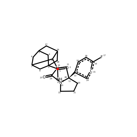 NC(=O)C12CC3CC(C1)C(N1C[C@]4(c5ccc(F)cc5)CCCN4C1=O)C(C3)C2